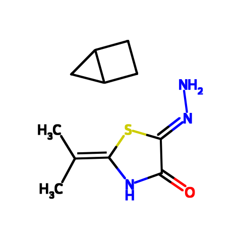 C1CC2CC12.CC(C)=C1NC(=O)C(=NN)S1